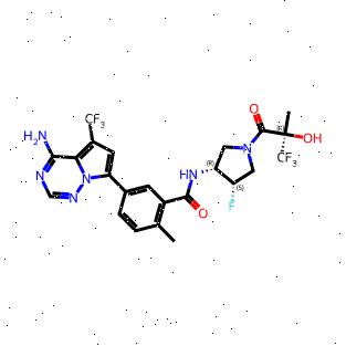 Cc1ccc(-c2cc(C(F)(F)F)c3c(N)ncnn23)cc1C(=O)N[C@@H]1CN(C(=O)[C@@](C)(O)C(F)(F)F)C[C@@H]1F